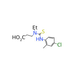 CCN(CCC(=O)O)C(=S)Nc1ccc(Cl)cc1C